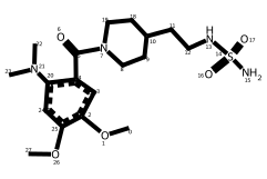 COc1cc(C(=O)N2CCC(CCNS(N)(=O)=O)CC2)c(N(C)C)cc1OC